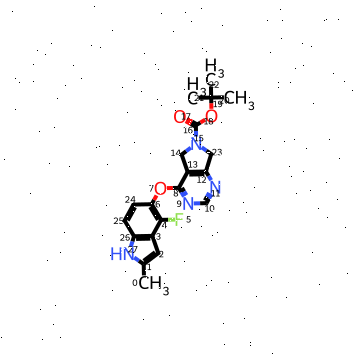 Cc1cc2c(F)c(Oc3ncnc4c3CN(C(=O)OC(C)(C)C)C4)ccc2[nH]1